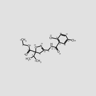 CCOC(=O)C1(C(C)C)CC(CNC(=O)c2cc(Cl)ccc2Cl)=NO1